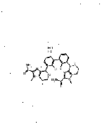 Cl.Cl.Cn1c(C(N)=O)nc2c1CCNC2c1cccc(-c2cccc(C3NCCc4c3nc(C(N)=O)n4C)c2Cl)c1Cl